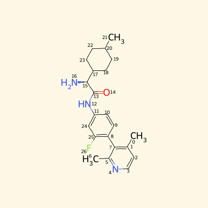 Cc1ccnc(C)c1-c1ccc(NC(=O)[C@@H](N)C2CCC(C)CC2)cc1F